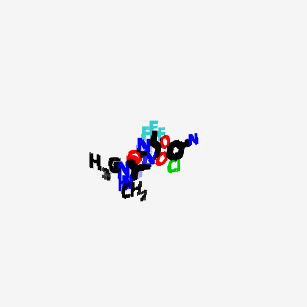 C=N/C=C(/Cn1cnc(C(F)(F)F)c(Oc2cc(Cl)cc(C#N)c2)c1=O)C(=O)NC